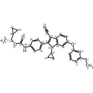 CSc1nccc(Oc2ccc3c(C#N)c(-c4ccc(NC(=O)O[C@H](C)C5CC5)cc4)n(C4CC4)c3c2)n1